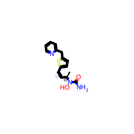 C[C@H](/C=C\c1ccc(Cc2ccccn2)s1)N(O)C(N)=O